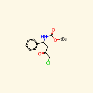 CC(C)(C)OC(=O)NC(CC(=O)CCl)c1ccccc1